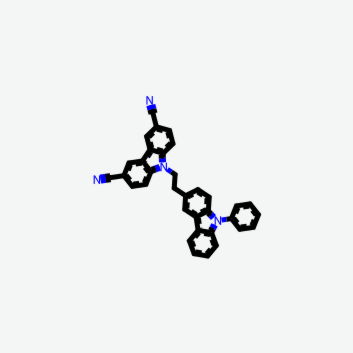 N#Cc1ccc2c(c1)c1cc(C#N)ccc1n2CCc1ccc2c(c1)c1ccccc1n2-c1ccccc1